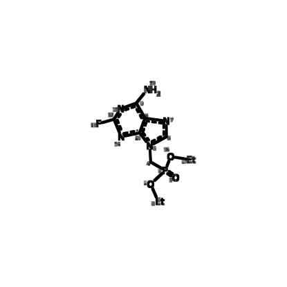 CCOP(=O)(Cn1cnc2c(N)nc(F)nc21)OCC